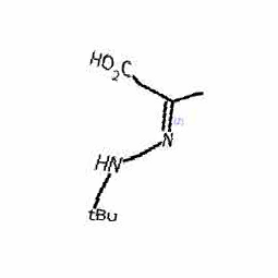 C/C(=N/NC(C)(C)C)C(=O)O